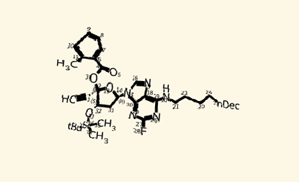 C#C[C@]1(OC(=O)c2ccccc2C)O[C@@H](n2cnc3c(NCCCCCCCCCCCCCC)nc(F)nc32)C[C@@H]1O[Si](C)(C)C(C)(C)C